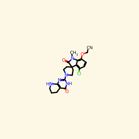 CN1C(=O)C2(CCN(c3nc4c(c(=O)[nH]3)CCCN4)CC2)c2c(Cl)ccc(OCC#N)c21